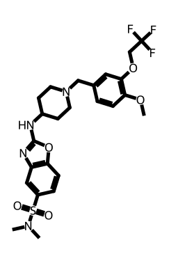 COc1ccc(CN2CCC(Nc3nc4cc(S(=O)(=O)N(C)C)ccc4o3)CC2)cc1OCC(F)(F)F